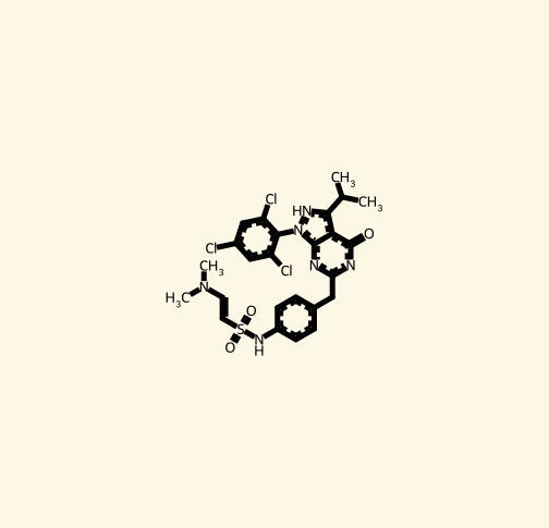 CC(C)c1[nH]n(-c2c(Cl)cc(Cl)cc2Cl)c2nc(Cc3ccc(NS(=O)(=O)C=CN(C)C)cc3)nc(=O)c1-2